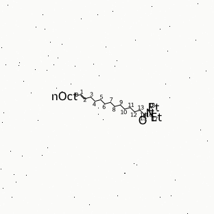 CCCCCCCCC=CCCCCCCCCCCCC(=O)N(CC)CC